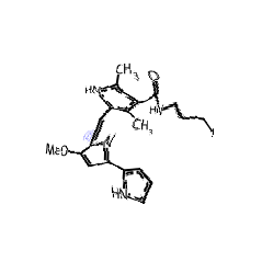 COC1=CC(c2ccc[nH]2)=N/C1=C\c1[nH]c(C)c(C(=O)NCCCI)c1C